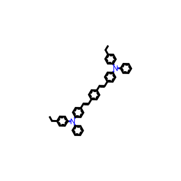 CCc1ccc(N(c2ccccc2)c2ccc(C=Cc3ccc(C=Cc4ccc(N(c5ccccc5)c5ccc(CC)cc5)cc4)cc3)cc2)cc1